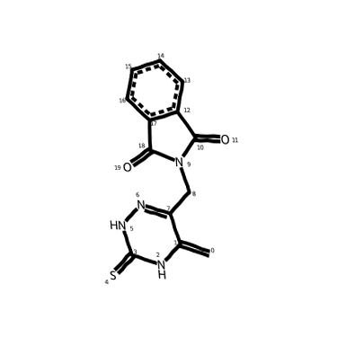 C=C1NC(=S)NN=C1CN1C(=O)c2ccccc2C1=O